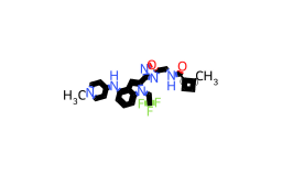 C[C@@H]1CC[C@H]1C(=O)NCc1nc(-c2cc3c(NC4CCN(C)CC4)cccc3n2CC(F)(F)F)no1